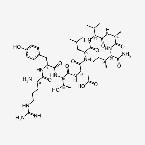 CC[C@H](C)[C@H](NC(=O)[C@H](C)NC(=O)[C@@H](NC(=O)[C@H](CC(C)C)NC(=O)[C@H](CC(=O)O)NC(=O)[C@@H](NC(=O)[C@H](Cc1ccc(O)cc1)NC(=O)[C@@H](N)CCCNC(=N)N)[C@@H](C)O)C(C)C)C(N)=O